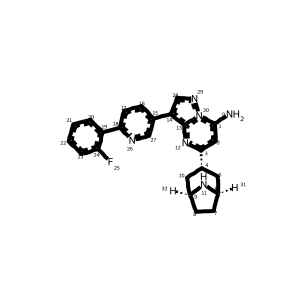 Nc1cc([C@@H]2C[C@H]3CC[C@@H](C2)N3)nc2c(-c3ccc(-c4ccccc4F)nc3)cnn12